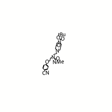 CNC(=O)N(CCOc1ccc(C#N)cc1)CCN1CC2CN(C(=O)OC(C)(C)C)CC(C1)O2